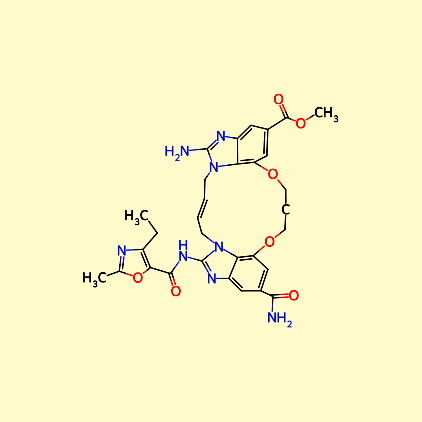 CCc1nc(C)oc1C(=O)Nc1nc2cc(C(N)=O)cc3c2n1C/C=C/Cn1c(N)nc2cc(C(=O)OC)cc(c21)OCCCO3